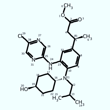 COC(=O)C[C@@H](C)c1ccc(N(CC(C)C)[C@H]2CC[C@H](O)CC2)c(Nc2cnc(Cl)cn2)c1